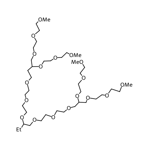 CCC(COCCOCCOCC(COCCOCCOC)OCCOCCOC)OCCOCCOCCC(COCCOCCOC)OCCOCCOC